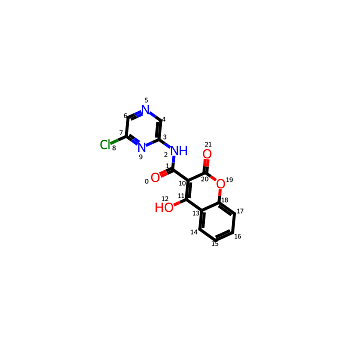 O=C(Nc1cncc(Cl)n1)c1c(O)c2ccccc2oc1=O